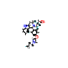 CC1Cc2[nH]c3ccccc3c2C(c2c(F)cc(OC3CN(CCCF)C3)cc2F)N1CC(F)(F)CO